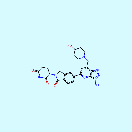 Nc1n[nH]c2c(CN3CCC(O)CC3)cc(-c3ccc4c(c3)CN(C3CCC(=O)NC3=O)C4=O)nc12